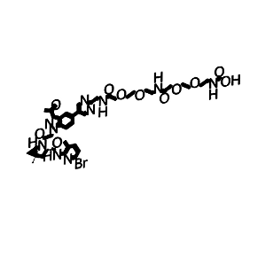 CC(=O)c1nn(CC(=O)N2[C@H](C(=O)Nc3nc(Br)ccc3C)C[C@@]3(C)C[C@@H]23)c2ccc(-c3cnc(CNC(=O)COCCOCCNC(=O)COCCOCCNC(=O)O)nc3)cc12